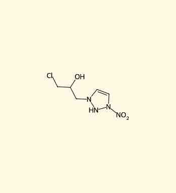 O=[N+]([O-])N1C=CN(CC(O)CCl)N1